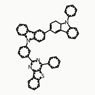 C1=C(c2ccc3c(c2)c2ccccc2n3-c2cccc(-c3nc(-c4ccccc4)c4sc5ccccc5c4n3)c2)C=C2c3ccccc3N(c3ccccc3)C2C1